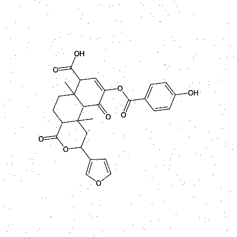 CC12CCC3C(=O)OC(c4ccoc4)CC3(C)C1C(=O)C(OC(=O)c1ccc(O)cc1)=CC2C(=O)O